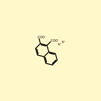 O=C([O-])c1ccc2ccccc2c1C(=O)[O-].[K+].[K+]